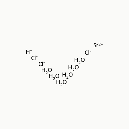 O.O.O.O.O.O.[Cl-].[Cl-].[Cl-].[H+].[Sr+2]